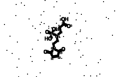 O=C(O)CCN(CCN1C(=O)C=CC1=O)P(=O)(O)O